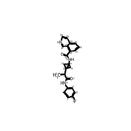 CC(C(=O)Nc1ccc(F)cc1)C12CC(NC(=O)c3cccc4ccncc34)(C1)C2